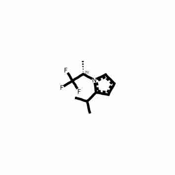 CC(C)c1cccn1[C@@H](C)C(F)(F)F